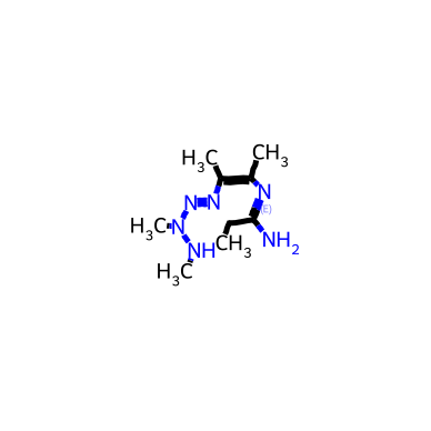 CC/C(N)=N\C(C)=C(C)N=NN(C)NC